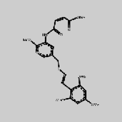 COC(=O)/C=C\C(=O)Nc1cc(CS/C=C/c2c(OC)cc(OC)cc2OC)cnc1OC